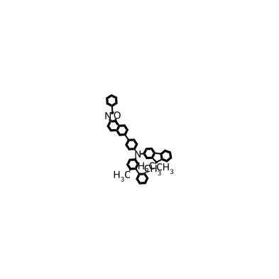 Cc1ccccc1-c1cc(N(c2ccc(-c3ccc4c(ccc5nc(-c6ccccc6)oc54)c3)cc2)c2ccc3c(c2)C(C)(C)c2ccccc2-3)ccc1C